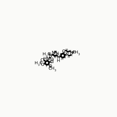 COc1cc(OC)c(Cl)c(NC(=O)N(C)c2cc(Nc3ccc4c(c3)OCC3CN(C)CCN43)ncn2)c1Cl